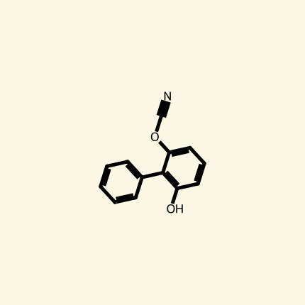 N#COc1cccc(O)c1-c1ccccc1